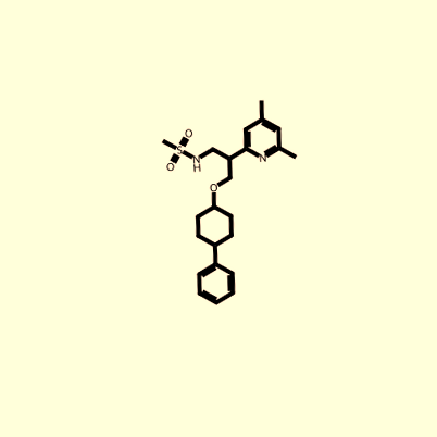 Cc1cc(C)nc(C(CNS(C)(=O)=O)COC2CCC(c3ccccc3)CC2)c1